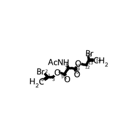 C=C(Br)COC(=O)C(NC(C)=O)C(=O)OCC(=C)Br